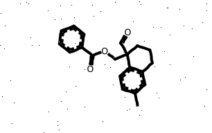 Cc1ccc2c(c1)CCCC2(C=O)COC(=O)c1ccccc1